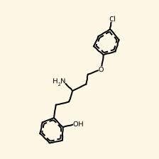 NC(CCOc1ccc(Cl)cc1)CCc1ccccc1O